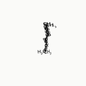 CCC(C)COc1ccc(-c2ccc(C(=O)OCCCCOC(=O)c3ccc(-c4ccc(OCC(C)CC)cc4)cc3)cc2)cc1